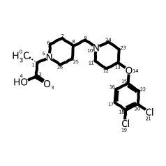 C[C@@H](C(=O)O)N1CCC(CN2CCC(Oc3ccc(Cl)c(Cl)c3)CC2)CC1